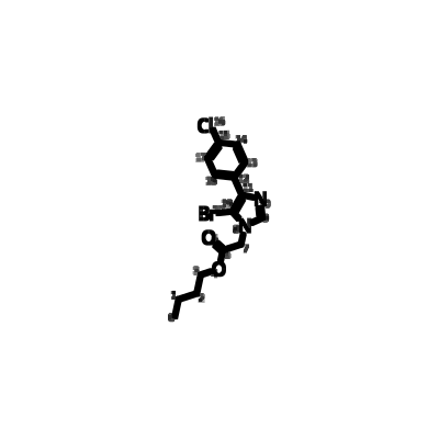 CCCCOC(=O)Cn1cnc(-c2ccc(Cl)cc2)c1Br